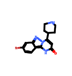 O=c1cc(C2CCNCC2)n2nc3cc(Br)ccc3c2[nH]1